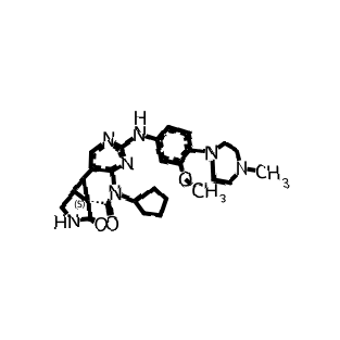 COc1cc(Nc2ncc3c(n2)N(C2CCCC2)C(=O)[C@]24C(=O)NCC2C34)ccc1N1CCN(C)CC1